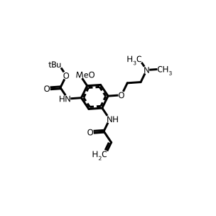 C=CC(=O)Nc1cc(NC(=O)OC(C)(C)C)c(OC)cc1OCCN(C)C